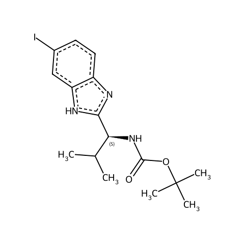 CC(C)[C@H](NC(=O)OC(C)(C)C)c1nc2ccc(I)cc2[nH]1